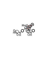 COc1cc(N2C3CC2CN(C(=O)CN2CCC(c4ccc(NC5CCC(=O)NC5=O)cc4)CC2)C3)ccc1Nc1ncc(Cl)c(Nc2ccccc2C(C)=O)n1